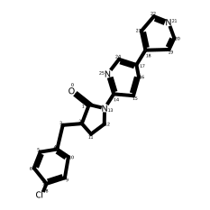 O=C1C(Cc2ccc(Cl)cc2)CCN1c1ccc(-c2ccncc2)cn1